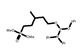 CCCOP(OCCC(C)CCP(=O)(OC)OC)N(C(C)C)C(C)C